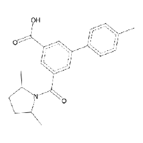 Cc1ccc(-c2cc(C(=O)O)cc(C(=O)N3C(C)CCC3C)c2)cc1